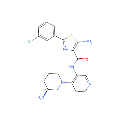 Nc1sc(-c2cccc(Cl)c2)nc1C(=O)Nc1cnccc1N1CCC[C@H](N)C1